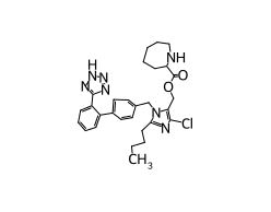 CCCCc1nc(Cl)c(COC(=O)C2CCCCCN2)n1Cc1ccc(-c2ccccc2-c2nn[nH]n2)cc1